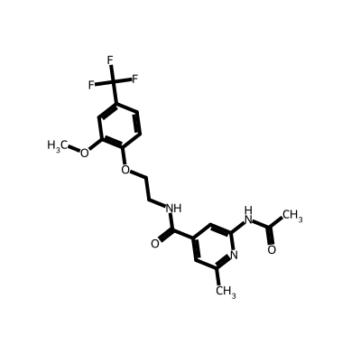 COc1cc(C(F)(F)F)ccc1OCCNC(=O)c1cc(C)nc(NC(C)=O)c1